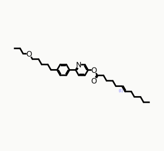 CCCCC/C=C/CCCCC(=O)Oc1ccc(-c2ccc(CCCCCOCCC)cc2)nc1